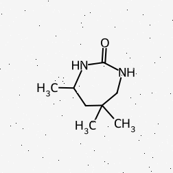 CC1CC(C)(C)CNC(=O)N1